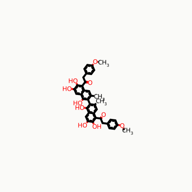 COc1ccc(CC(=O)c2c(O)c(O)cc3c(O)c(-c4c(C)cc5c(C(=O)Cc6ccc(OC)cc6)c(O)c(O)cc5c4O)c(C)cc23)cc1